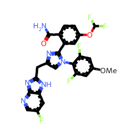 COc1cc(F)c(-n2cc(Cc3nc4ncc(F)cc4[nH]3)nc2-c2cc(OC(F)F)ccc2C(N)=O)c(F)c1